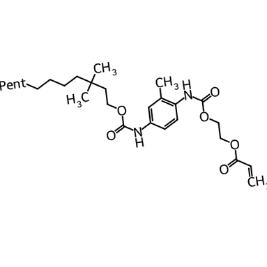 C=CC(=O)OCCOC(=O)Nc1ccc(NC(=O)OCCC(C)(C)CCCCC(C)CCC)cc1C